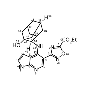 CCOC(=O)c1nc(-c2cnc3[nH]ccc3c2N[C@@H]2C3CC4C[C@@H](C3)CC2(O)C4)no1